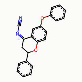 N#C/N=C1/CC(c2ccccc2)Oc2ccc(Oc3ccccc3)cc21